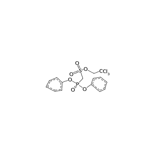 O=P(CS(=O)(=O)OCC(Cl)(Cl)Cl)(Oc1ccccc1)Oc1ccccc1